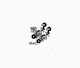 CCCC(CNc1nc(-c2ccccn2)cs1)NS(=O)(=O)c1ccc(OC)cc1.CCCC(CNc1nc(-c2ccccn2)cs1)NS(=O)(=O)c1ccccc1F.Cl.Cl